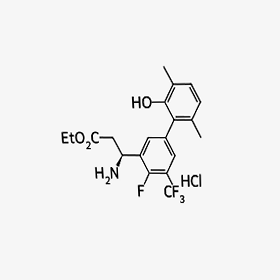 CCOC(=O)C[C@H](N)c1cc(-c2c(C)ccc(C)c2O)cc(C(F)(F)F)c1F.Cl